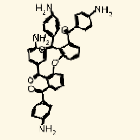 Nc1ccc(C(=O)c2cccc(Oc3cccc(C(=O)c4ccc(N)cc4)c3C(=O)c3ccc(N)cc3)c2C(=O)c2ccc(N)cc2)cc1